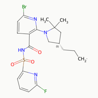 [CH2]CC[C@@H]1CN(c2nc(Br)ccc2C(=O)NS(=O)(=O)c2cccc(F)n2)C(C)(C)C1